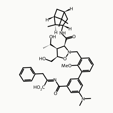 COc1c(CN2O[C@@H](CO)[C@@H]([C@H](C)O)[C@H]2C(=O)N[C@H]2C[C@H]3C[C@@H]([C@@H]2C)C3(C)C)cccc1-c1cc(C(=O)/N=C(/Cc2ccccc2)C(=O)O)cc(N(C)C)c1